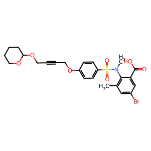 Cc1cc(Br)cc(C(=O)O)c1N(C)S(=O)(=O)c1ccc(OCC#CCOC2CCCCO2)cc1